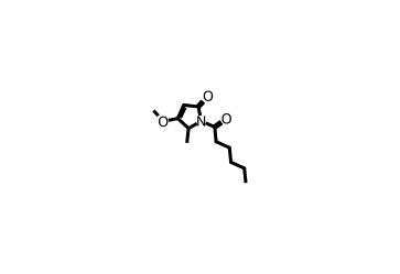 CCCCCC(=O)N1C(=O)C=C(OC)C1C